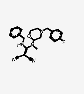 CN(C(NCc1ccccc1)=C(C#N)C#N)C1CN(Cc2ccc(F)cc2)CCO1